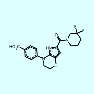 O=C(O)c1ccc(N2CCOc3cc(C(=O)N4CCCC(F)(F)C4)[nH]c32)cc1